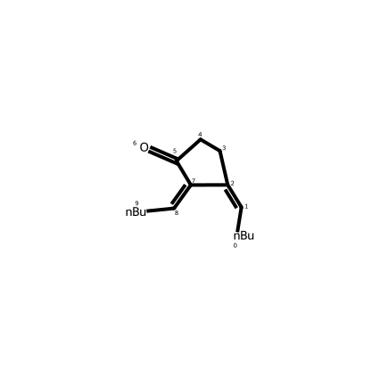 CCCCC=C1CCC(=O)C1=CCCCC